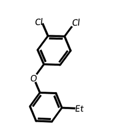 CCc1cccc(Oc2ccc(Cl)c(Cl)c2)c1